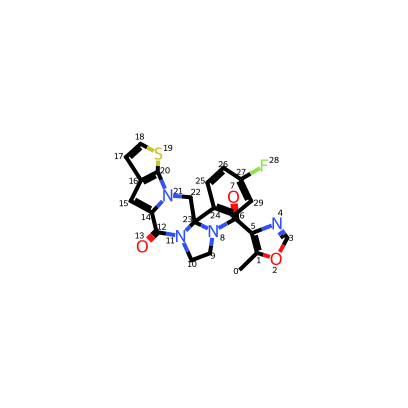 Cc1ocnc1C(=O)N1CCN2C(=O)c3cc4ccsc4n3CC12c1ccc(F)cc1